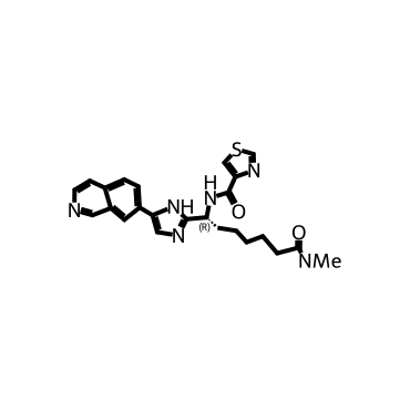 CNC(=O)CCCCC[C@@H](NC(=O)c1cscn1)c1ncc(-c2ccc3ccncc3c2)[nH]1